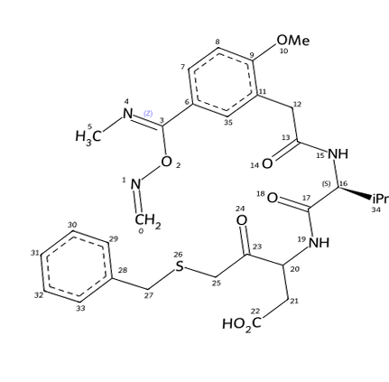 C=NO/C(=N\C)c1ccc(OC)c(CC(=O)N[C@H](C(=O)NC(CC(=O)O)C(=O)CSCc2ccccc2)C(C)C)c1